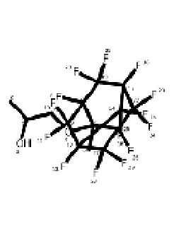 CC(O)COC1(C)C2(F)C(F)(F)C3(F)C(F)(F)C(F)(C2(F)F)C(F)(F)C1(F)C3(F)F